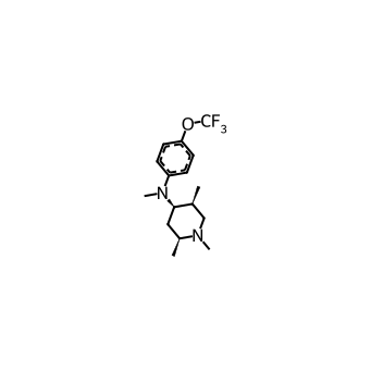 C[C@H]1CN(C)[C@@H](C)C[C@H]1N(C)c1ccc(OC(F)(F)F)cc1